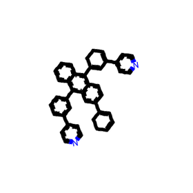 C1=CCCC(c2ccc3c(C4=CC(c5ccncc5)=CCC4)c4ccccc4c(-c4cccc(-c5ccncc5)c4)c3c2)=C1